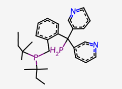 CCC(C)(C)P(Cc1ccccc1C(P)(c1cccnc1)c1cccnc1)C(C)(C)CC